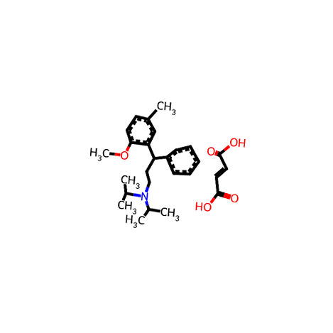 COc1ccc(C)cc1C(CCN(C(C)C)C(C)C)c1ccccc1.O=C(O)/C=C/C(=O)O